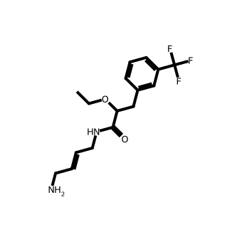 CCOC(Cc1cccc(C(F)(F)F)c1)C(=O)NC/C=C/CN